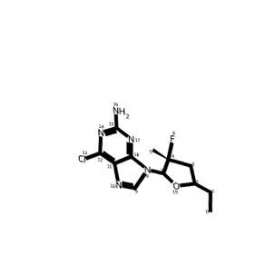 CCC1C[C@@](C)(F)C(n2cnc3c(Cl)nc(N)nc32)O1